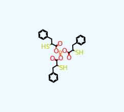 O=C(OP(OC(=O)C(S)Cc1ccccc1)OC(=O)C(S)Cc1ccccc1)C(S)Cc1ccccc1